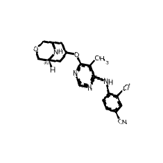 Cc1c(Nc2ccc(C#N)cc2Cl)ncnc1OC1CC2COC[C@@H](C1)N2